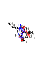 CCCCc1ccc(-c2ccc(C(=O)NC[C@@H](C)C(=O)N[C@@H](C)C(=O)N(C)C3C(=O)N[C@@H](C)C(=O)N[C@H](C(=O)OC)CC4=CCC(OC)C(=C4)C4=C(OC)C=CC3C4C)cc2)cc1